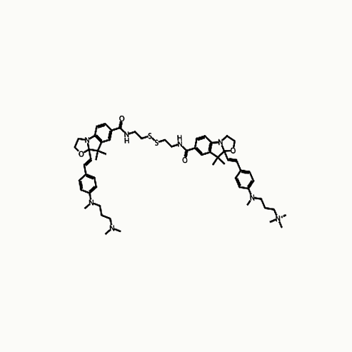 CN(C)CCCN(C)c1ccc(/C=C/C23OCCN2c2ccc(C(=O)NCCSSCCNC(=O)c4ccc5c(c4)C(C)(C)C4(/C=C/c6ccc(N(C)CCC[N+](C)(C)C)cc6)OCCN54)cc2C3(C)C)cc1